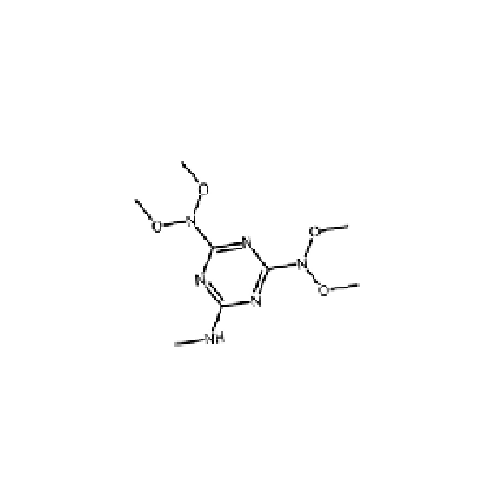 CNc1nc(N(OC)OC)nc(N(OC)OC)n1